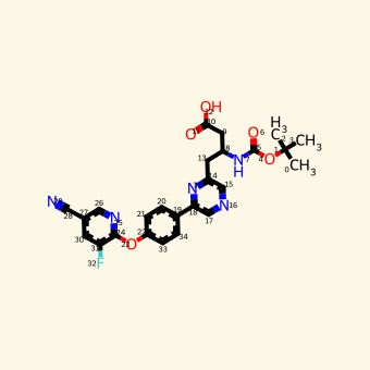 CC(C)(C)OC(=O)NC(CC(=O)O)Cc1cncc(-c2ccc(Oc3ncc(C#N)cc3F)cc2)n1